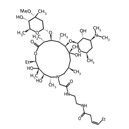 CC/C=C\CC(=O)NCCNC(=O)CN1C[C@H](C)C[C@@](C)(O)[C@H](O[C@@H]2O[C@H](C)C[C@H](N(C)C)[C@H]2O)[C@@H](C)[C@H](O[C@H]2C[C@@](C)(OC)[C@@H](O)[C@H](C)O2)[C@@H](C)C(=O)O[C@H](CC)[C@@](C)(O)[C@H](O)[C@H]1C